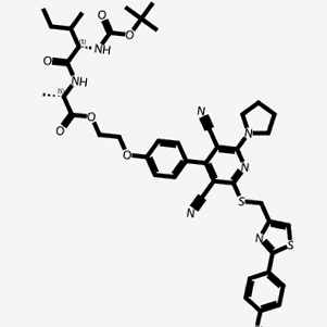 CCC(C)[C@H](NC(=O)OC(C)(C)C)C(=O)N[C@@H](C)C(=O)OCCOc1ccc(-c2c(C#N)c(SCc3csc(-c4ccc(Cl)cc4)n3)nc(N3CCCC3)c2C#N)cc1